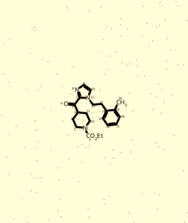 CCOC(=O)N1CCC(C(=O)c2nccn2CCc2ccccc2C)CC1